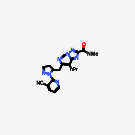 CCCc1c(CC2CC=NN2c2ncccc2C#N)ncn2nc(C(=O)NC)nc12